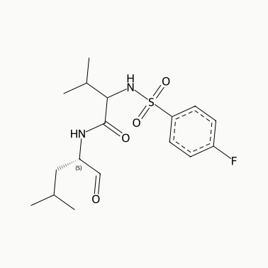 CC(C)C[C@@H](C=O)NC(=O)C(NS(=O)(=O)c1ccc(F)cc1)C(C)C